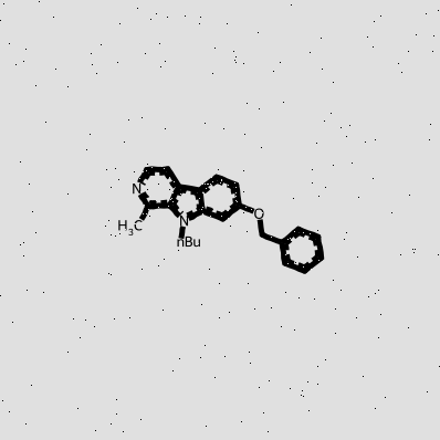 CCCCn1c2cc(OCc3ccccc3)ccc2c2ccnc(C)c21